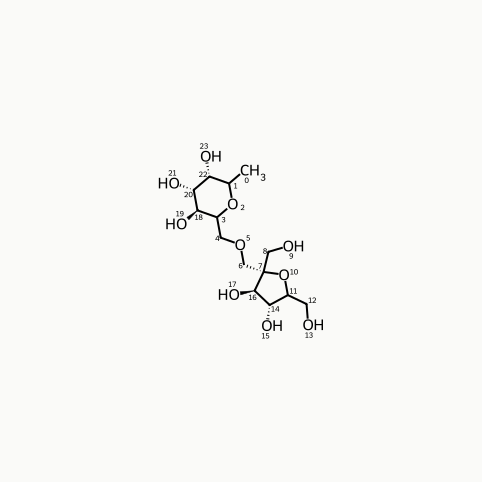 CC1OC(COC[C@]2(CO)OC(CO)[C@H](O)[C@H]2O)[C@@H](O)[C@H](O)[C@@H]1O